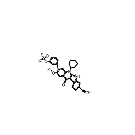 C#Cc1ccc2c(c1)[nH]c1c2c(=O)c2cc(OC(C)C)c(-c3cccc(OS(=O)(=O)F)c3)cc2n1C1CCCCC1